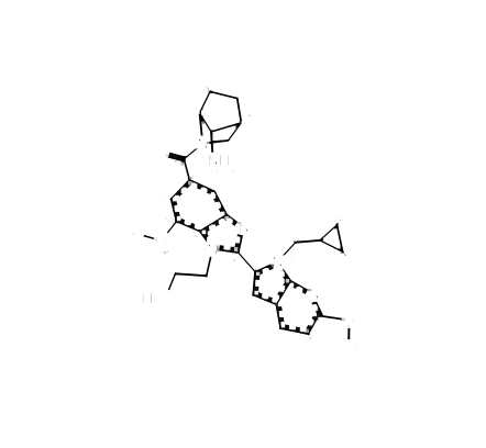 CCCn1c(-c2cc3ccc(OC)nc3n2CC2CC2)nc2cc(C(=O)N3CC4CCC3C4N)cc(OC)c21